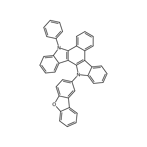 c1ccc(-n2c3ccccc3c3c2c2ccccc2c2c4ccccc4n(-c4ccc5oc6ccccc6c5c4)c23)cc1